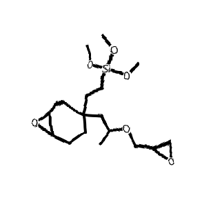 CO[Si](CCC1(CC(C)OCC2CO2)CCC2OC2C1)(OC)OC